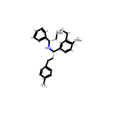 CNC[C@H](N[C@@H](CCc1ccc(C(F)(F)F)cc1)c1ccc(OC)c(CC(C)C)c1)c1ccccc1